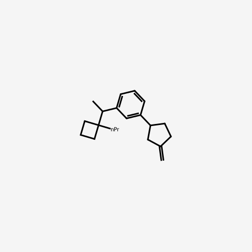 C=C1CCC(c2cccc(C(C)C3(CCC)CCC3)c2)C1